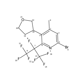 Cc1[c]c(Br)nc(C(F)(C(F)(F)F)C(F)(F)F)c1C1CCOC1